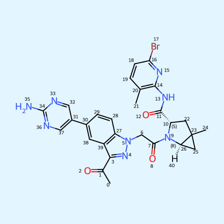 CC(=O)c1nn(CC(=O)N2[C@H](C(=O)Nc3nc(Br)ccc3C)CC3(C)C[C@@H]23)c2ccc(-c3cnc(N)nc3)cc12